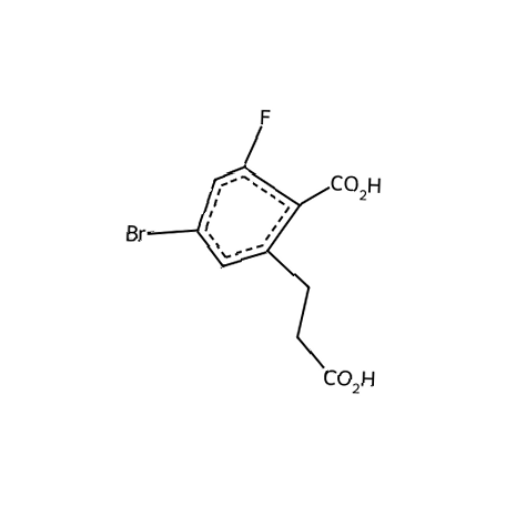 O=C(O)CCc1cc(Br)cc(F)c1C(=O)O